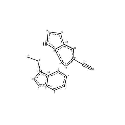 CCn1ccc2ccccc21.N#Cc1ccc2[nH]ccc2c1